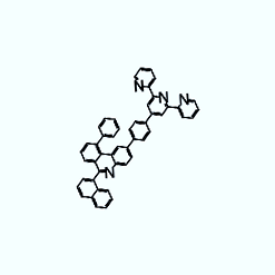 c1ccc(-c2cccc3c(-c4cccc5ccccc45)nc4ccc(-c5ccc(-c6cc(-c7ccccn7)nc(-c7ccccn7)c6)cc5)cc4c23)cc1